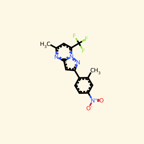 Cc1cc(C(F)(F)F)n2nc(-c3ccc([N+](=O)[O-])cc3C)cc2n1